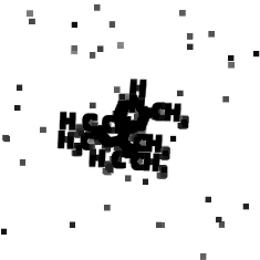 CC1C=C(C(CC(C)(C)C)C(C)(C)C)C=CN1